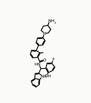 Cc1c(C(=O)NC(c2cc3ccccc3[nH]2)c2cc(F)ccc2O)cccc1-c1ccc(N2CCC(N)CC2)cc1